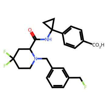 O=C(O)c1ccc(C2(NC(=O)C3CC(F)(F)CCN3Cc3cccc(CF)c3)CC2)cc1